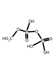 O=C(O)OP(=O)(O)OP(=O)(O)O